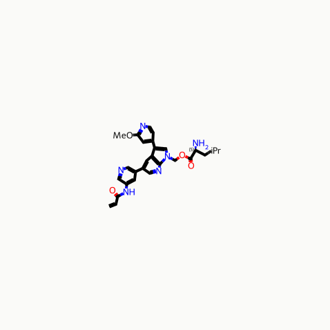 C=CC(=O)Nc1cncc(-c2cnc3c(c2)c(-c2ccnc(OC)c2)cn3COC(=O)[C@@H](N)CC(C)C)c1